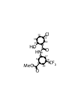 COC(=O)c1cc(NC(=O)c2cc(Cl)ccc2O)cc(C(F)(F)F)c1